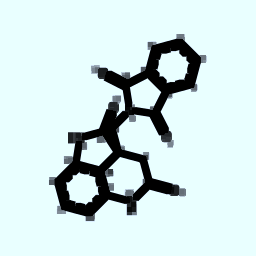 O=C1CC2(CN3C(=O)c4ccccc4C3=O)C(=O)Nc3cccc(c32)N1